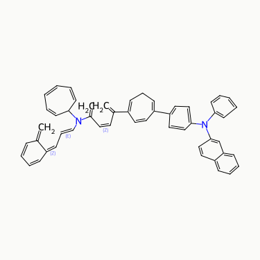 C=C(/C=C\C(=C)N(/C=C/C=c1/ccccc1=C)C1C=CC=CC=C1)C1=CCC=C(c2ccc(N(c3ccccc3)c3ccc4ccccc4c3)cc2)C=C1